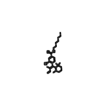 C=C/C(C)=C(\C1=C(C)CCCC1(C)C)c1ccc(C(=O)OCCCCCCC)cc1Cl